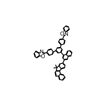 CC1(C)c2cc(-c3cc(-c4cc(-c5ccc(-c6nc7ccccc7o6)cc5)cc(-c5ccc(-c6nc7ccccc7o6)cc5)c4)c4ccccc4c3)ccc2-c2c1ccc1ccccc21